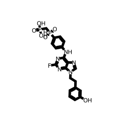 O=P(O)(O)CP(=O)(O)c1ccc(Nc2nc(F)nc3c2ncn3CCc2cccc(O)c2)cc1